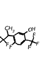 CC(c1cc(O)c(C(F)(F)F)cc1F)C(F)(F)F